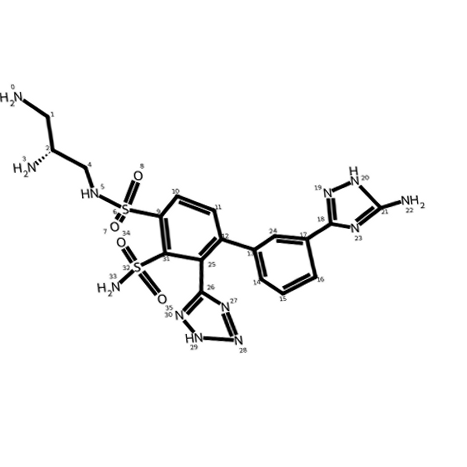 NC[C@@H](N)CNS(=O)(=O)c1ccc(-c2cccc(-c3n[nH]c(N)n3)c2)c(-c2nn[nH]n2)c1S(N)(=O)=O